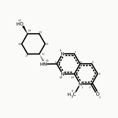 Cn1c(=O)ccc2cnc(N[C@H]3CC[C@H](O)CC3)nc21